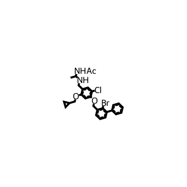 CC(=O)NC(C)NCc1cc(Cl)c(OCc2cccc(-c3ccccc3)c2Br)cc1OCC1CC1